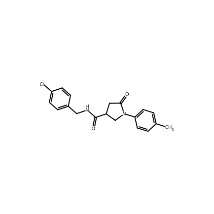 Cc1ccc(N2CC(C(=O)NCc3ccc(Cl)cc3)CC2=O)cc1